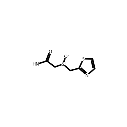 [NH]C(=O)C[S+]([O-])Cc1nccs1